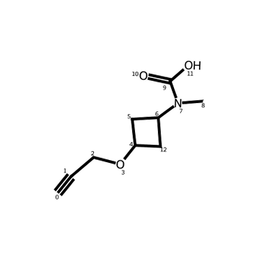 C#CCOC1CC(N(C)C(=O)O)C1